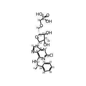 C[C@@H](Nc1nc(Cl)nc2c1ncn2[C@@H]1O[C@H](COCP(=O)(O)O)[C@@H](O)[C@@]1(C)O)c1ccccc1